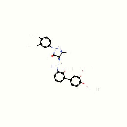 CC1=NN(c2ccc(C)c(C)c2)C(=O)C1=NNc1cccc(-c2ccc(OC(=O)O)c(OC(=O)O)c2)c1O